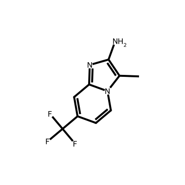 Cc1c(N)nc2cc(C(F)(F)F)ccn12